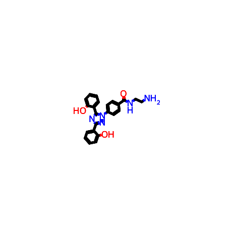 NCCNC(=O)c1ccc(-n2nc(-c3ccccc3O)nc2-c2ccccc2O)cc1